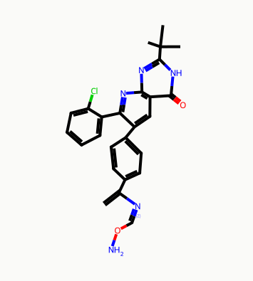 C=C(/N=C\ON)c1ccc(-c2cc3c(=O)[nH]c(C(C)(C)C)nc3nc2-c2ccccc2Cl)cc1